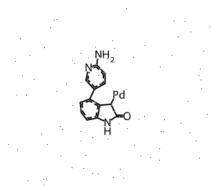 Nc1ccc(-c2cccc3c2[CH]([Pd])C(=O)N3)cn1